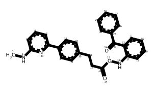 CNc1cccc(-c2ccc(CCC(=O)ONc3ccccc3C(=O)c3ccccc3)cc2)n1